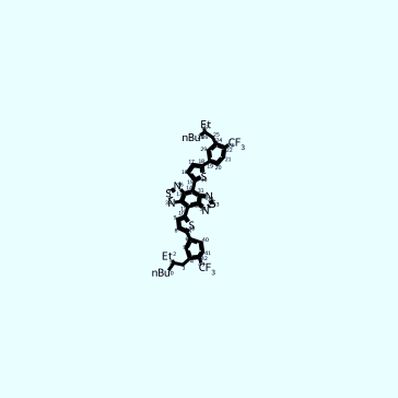 CCCCC(CC)Cc1cc(-c2ccc(-c3c4c(c(-c5ccc(-c6ccc(C(F)(F)F)c(CC(CC)CCCC)c6)s5)c5nsnc35)N=S=N4)s2)ccc1C(F)(F)F